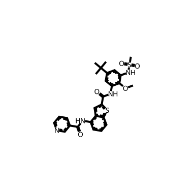 COc1c(NC(=O)c2cc3c(NC(=O)c4cccnc4)cccc3s2)cc(C(C)(C)C)cc1NS(C)(=O)=O